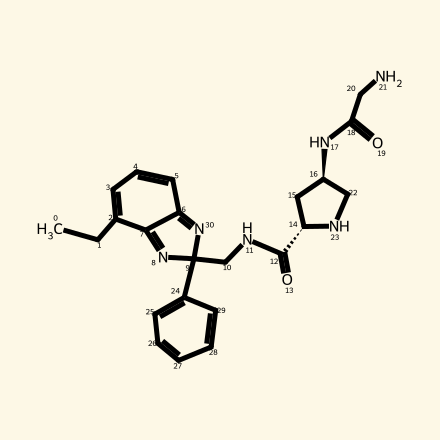 CCc1cccc2c1=NC(CNC(=O)[C@@H]1C[C@@H](NC(=O)CN)CN1)(c1ccccc1)N=2